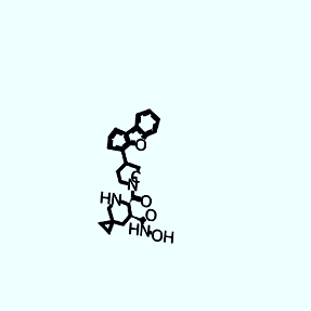 O=C(NO)[C@H]1CC2(CC2)CN[C@@H]1C(=O)N1CCC(c2cccc3c2oc2ccccc23)CC1